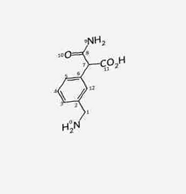 NCc1cccc(C(C(N)=O)C(=O)O)c1